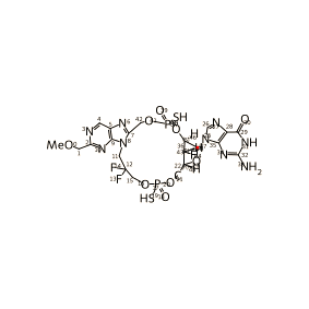 COCc1ncc2nc3n(c2n1)CC(F)(F)COP(=O)(S)OC[C@H]1O[C@@H](n2cnc4c(=O)[nH]c(N)nc42)[C@H](OP(=O)(S)OC3)[C@@H]1F